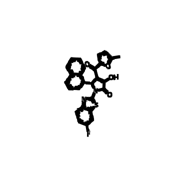 Cc1ccc(C(=O)C2=C(O)C(=O)N(c3nc4ccc(F)cc4s3)C2c2cccc3ccccc23)o1